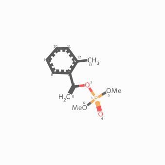 C=C(OP(=O)(OC)OC)c1ccccc1C